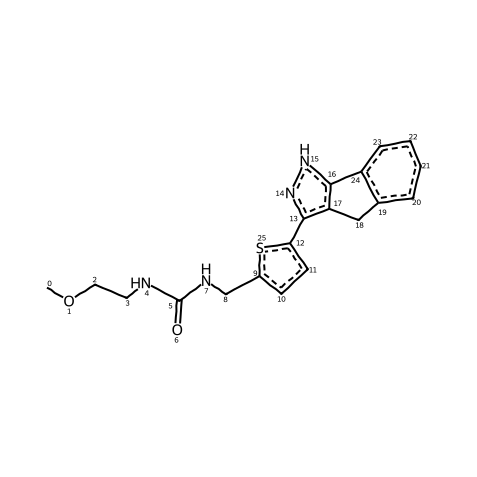 COCCNC(=O)NCc1ccc(-c2n[nH]c3c2Cc2ccccc2-3)s1